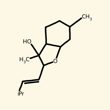 CC(C)C=CC1OC2CC(C)CCC2C1(C)O